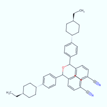 CC[C@H]1CC[C@H](c2ccc(C(OC(c3ccc(C#N)cc3)c3ccc([C@H]4CC[C@H](CC)CC4)cc3)c3ccc(C#N)cc3)cc2)CC1